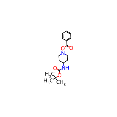 CC(C)(C)OC(=O)NC1CCN(OC(=O)c2ccccc2)CC1